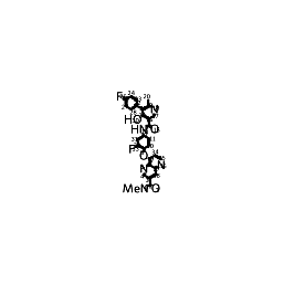 CNC(=O)c1cnc2c(Oc3ccc(NC(=O)c4cnc(C)c(-c5ccc(F)cc5)c4O)cc3F)ccnc2c1